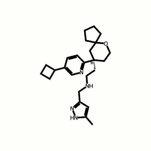 Cc1cc(CNCC[C@@]2(c3ccc(C4CCC4)cn3)CCOC3(CCCC3)C2)n[nH]1